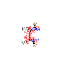 CC(=O)O[C@H]1C[C@H](n2cc(/C=C/Br)c(=O)[nH]c2=O)O[C@@H]1C(O)OC(=O)OC(O)[C@H]1O[C@@H](n2cc(/C=C/Br)c(=O)[nH]c2=O)C[C@@H]1OC(C)=O